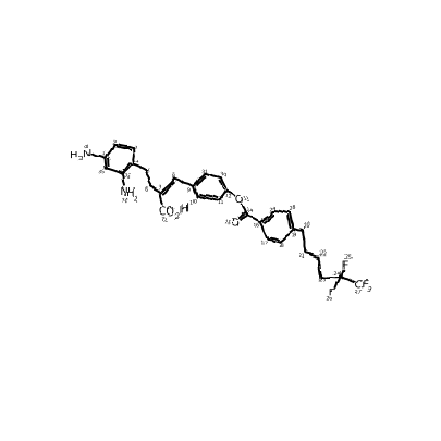 Nc1ccc(CCC(=Cc2ccc(OC(=O)c3ccc(CCCCC(F)(F)C(F)(F)F)cc3)cc2)C(=O)O)c(N)c1